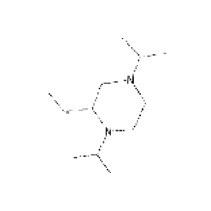 CC[C@@H]1CN(C(C)C)CCN1C(C)C